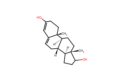 C[C@]12CCC(O)=CC1=CC[C@@H]1[C@@H]2CC[C@]2(C)C(O)CC[C@@H]12